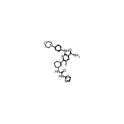 NC(=O)c1cc(F)c(C2=CC(NC(=O)Nc3nccs3)CCC2)nc1Nc1ccc(N2CCOCC2)cc1